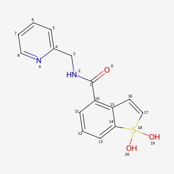 O=C(NCc1ccccn1)c1cccc2c1C=CS2(O)O